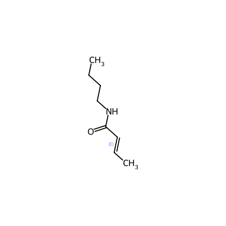 C/C=C/C(=O)NCCCC